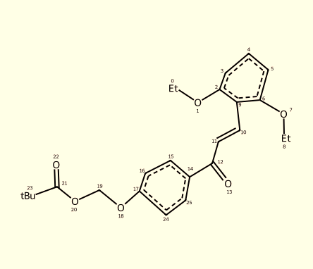 CCOc1cccc(OCC)c1C=CC(=O)c1ccc(OCOC(=O)C(C)(C)C)cc1